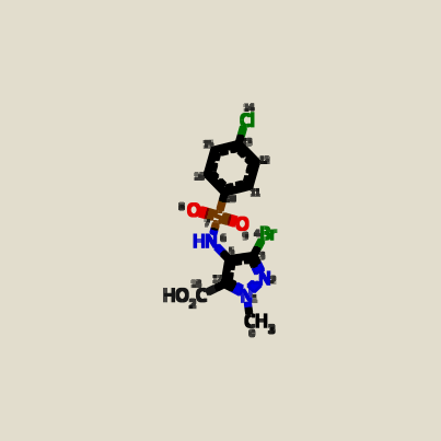 Cn1nc(Br)c(NS(=O)(=O)c2ccc(Cl)cc2)c1C(=O)O